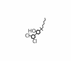 CCCCCCC(C)(C)c1ccc(-c2cc(Cl)cc(Cl)c2)c(O)c1